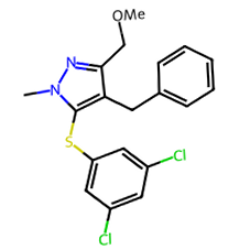 COCc1nn(C)c(Sc2cc(Cl)cc(Cl)c2)c1Cc1ccccc1